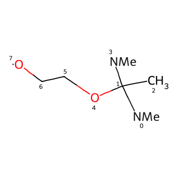 CNC(C)(NC)OCC[O]